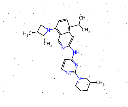 CC(C)c1ccc(N2C[C@H](C)[C@H]2C)c2cnc(Nc3ccnc(N4CCC[C@H](C)C4)n3)cc12